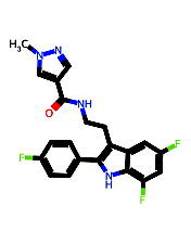 Cn1cc(C(=O)NCCc2c(-c3ccc(F)cc3)[nH]c3c(F)cc(F)cc23)cn1